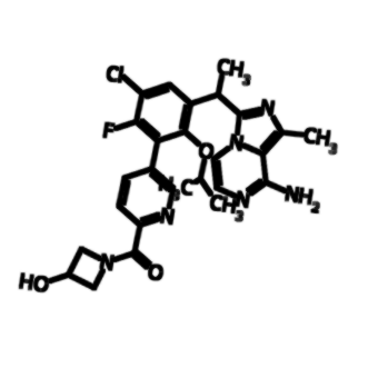 Cc1nc(C(C)c2cc(Cl)c(F)c(-c3ccc(C(=O)N4CC(O)C4)nc3)c2OC(C)C)n2ccnc(N)c12